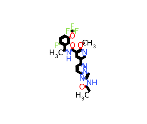 CCC(=O)Nc1cn2nc(-c3cnc(OC)c(C(=O)NC(C)c4cc(OC(F)(F)F)ccc4F)c3)ccc2n1